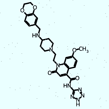 COc1ccc2c(C(=O)Nc3nn[nH]n3)cc(=O)n(CCN3CCC(NCc4ccc5c(c4)OCCO5)CC3)c2c1